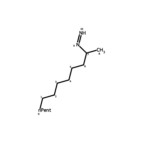 CCCCCCCCCCCC(C)N=N